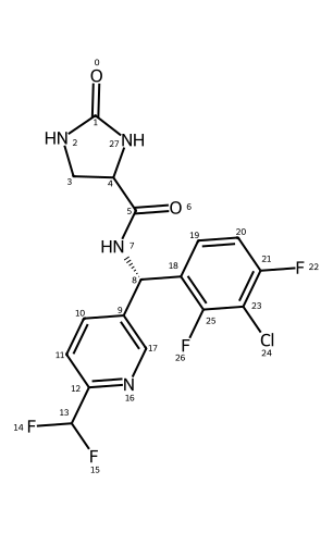 O=C1NCC(C(=O)N[C@@H](c2ccc(C(F)F)nc2)c2ccc(F)c(Cl)c2F)N1